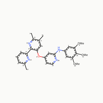 COc1cc(Nc2cc(Oc3cc(C)c(C)nc3-c3cccc(C)n3)ccn2)cc(OC)c1OC